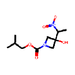 CC(C)COC(=O)N1CC(O)(C(C)[N+](=O)[O-])C1